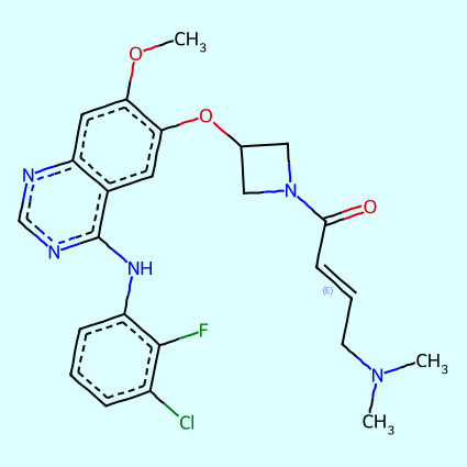 COc1cc2ncnc(Nc3cccc(Cl)c3F)c2cc1OC1CN(C(=O)/C=C/CN(C)C)C1